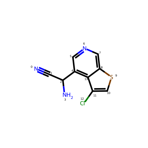 N#CC(N)c1cncc2scc(Cl)c12